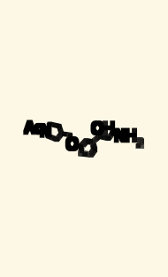 CC(=O)N1CCC(COc2cccc(C(O)CCN)c2)CC1